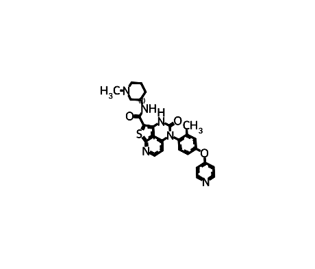 Cc1cc(Oc2ccncc2)ccc1N1C(=O)Nc2c(C(=O)N[C@@H]3CCCN(C)C3)sc3nccc1c23